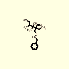 CCC(C=O)(CSNCc1ccccc1)C(C)(C)C(C)CO